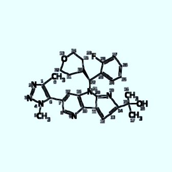 Cc1nnn(C)c1-c1cnc2c3ccc(C(C)(C)O)nc3n([C@H](c3ccccc3F)C3CCOCC3)c2c1